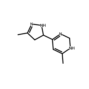 CC1=CC(C2CC(C)=NN2)=NCN1